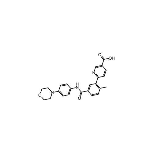 Cc1ccc(C(=O)Nc2ccc(N3CCOCC3)cc2)cc1-c1ccc(C(=O)O)cn1